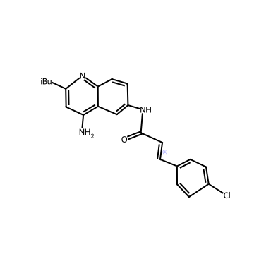 CCC(C)c1cc(N)c2cc(NC(=O)/C=C/c3ccc(Cl)cc3)ccc2n1